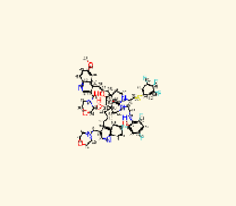 COc1ccc2ncc(CN3CCOCC3)c(CCCC3(C(O)C(O)C4(CCCc5c(CN6CCOCC6)cnc6ccc(OC)cc56)CCN(CCSc5cc(F)c(F)c(F)c5)CC4)CCN(CCNc4c(F)cc(F)cc4F)CC3)c2c1